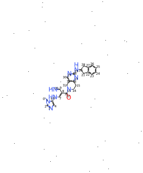 Cn1cncc1N/C=C(\C=N)C(=O)N1CCc2nc(NC3Cc4ccccc4C3)ncc2C1